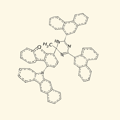 CC1(c2ccc(-n3c4ccccc4c4cc5ccccc5cc43)c3c2oc2ccccc23)N=C(c2cc3ccccc3c3ccccc23)N=C(c2cc3ccccc3c3ccccc23)N1